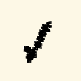 CCC(C)n1ncn(-c2ccc(N3CCN(c4ccc(OC[C@@H]5CO[C@@](Cn6cncn6)(c6ccc(Cl)cc6Cl)O5)cc4)CC3)cn2)c1=O